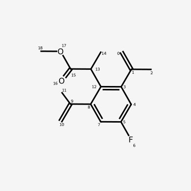 C=C(C)c1cc(F)cc(C(=C)C)c1C(C)C(=O)OC